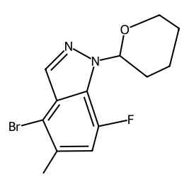 Cc1cc(F)c2c(cnn2C2CCCCO2)c1Br